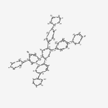 c1ccc(-c2ccc(-c3cc(-c4ccc(-c5ccccc5)cc4)c(-c4ccc(-c5ccccn5)cc4)cc3-c3ccc(-c4ccccn4)cc3)cc2)cc1